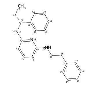 CC[C@@H](Nc1ccnc(NCCc2ccccc2)n1)c1ccccc1